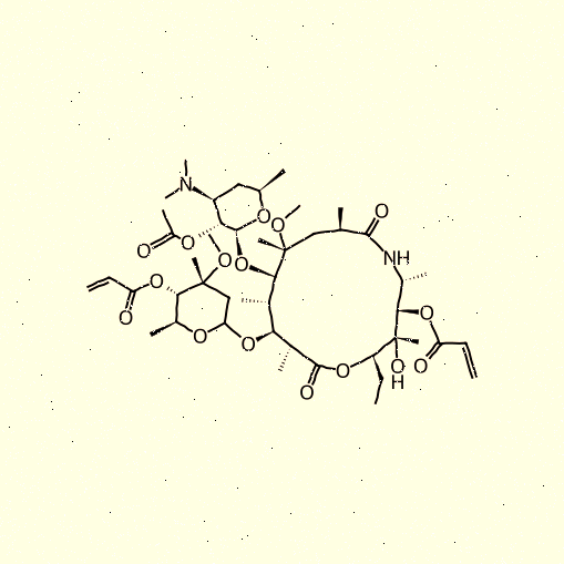 C=CC(=O)O[C@@H]1[C@@H](C)NC(=O)[C@H](C)C[C@@](C)(OC)[C@H](O[C@@H]2O[C@H](C)C[C@H](N(C)C)[C@H]2OC(C)=O)[C@@H](C)[C@H](OC2C[C@@](C)(OC)[C@@H](OC(=O)C=C)[C@H](C)O2)[C@@H](C)C(=O)O[C@H](CC)[C@@]1(C)O